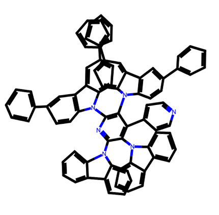 c1ccc(-c2ccc3c(c2)c2cc(-c4ccccc4)ccc2n3-c2nc(-n3c4ccccc4c4ccccc43)c(-n3c4ccccc4c4ccccc43)c(-c3ccncc3)c2-n2c3ccc(-c4ccccc4)cc3c3cc(-c4ccccc4)ccc32)cc1